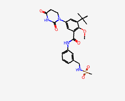 COc1c(C(=O)Nc2cccc(CNS(C)(=O)=O)c2)cc(N2CCC(=O)NC2=O)cc1C(C)(C)C